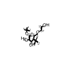 CC(C)(C)O[C@@H]1OC(COCCO)C(C(C)(C)C)[C@H](O)[C@H]1O